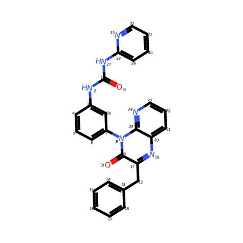 O=C(Nc1cccc(-n2c(=O)c(Cc3ccccc3)nc3cccnc32)c1)Nc1ccccn1